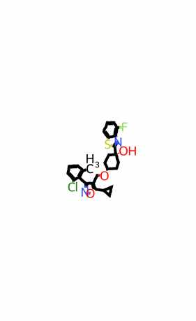 Cc1cccc(Cl)c1-c1noc(C2CC2)c1CO[C@H]1CC[C@](O)(c2nc3c(F)cccc3s2)CC1